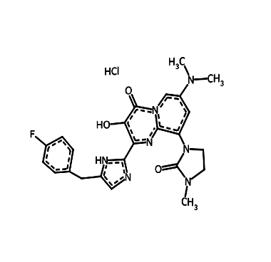 CN1CCN(c2cc(N(C)C)cn3c(=O)c(O)c(-c4ncc(Cc5ccc(F)cc5)[nH]4)nc23)C1=O.Cl